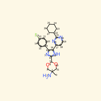 CC1(N)COC(c2nc(-c3ccc(F)cc3)c(-c3ccnc([C]4CCCCC4)n3)[nH]2)OC1